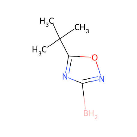 Bc1noc(C(C)(C)C)n1